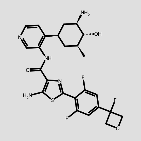 C[C@H]1C[C@@H](c2ccncc2NC(=O)c2nc(-c3c(F)cc(C4(F)COC4)cc3F)sc2N)C[C@@H](N)[C@@H]1O